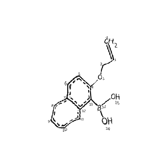 C=CCOc1ccc2ccccc2c1B(O)O